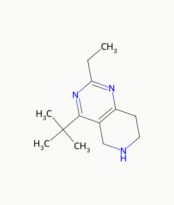 CCc1nc2c(c(C(C)(C)C)n1)CNCC2